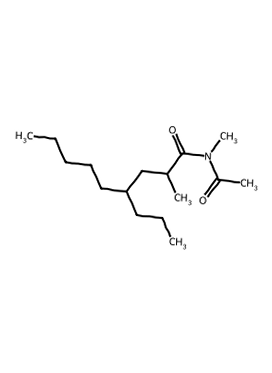 CCCCCC(CCC)CC(C)C(=O)N(C)C(C)=O